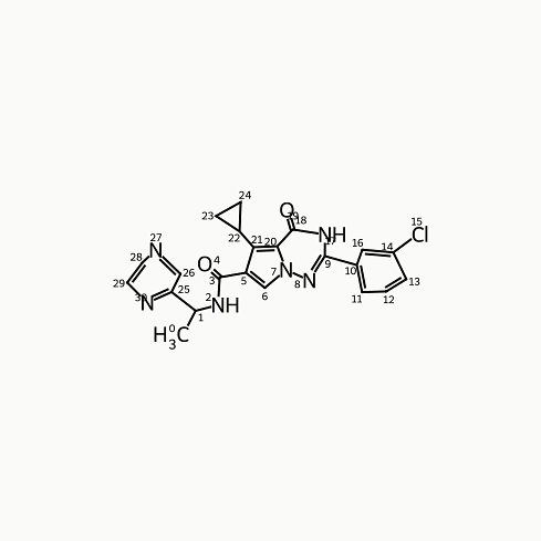 CC(NC(=O)c1cn2nc(-c3cccc(Cl)c3)[nH]c(=O)c2c1C1CC1)c1cnccn1